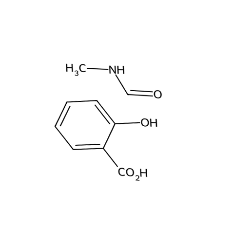 CNC=O.O=C(O)c1ccccc1O